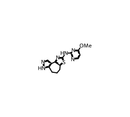 COc1ccnc(Nc2nc3c(s2)CCCc2[nH]ncc2-3)n1